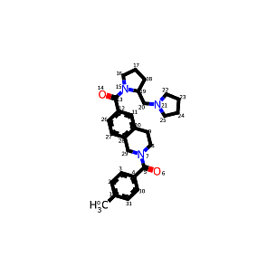 Cc1ccc(C(=O)N2CCc3cc(C(=O)N4CCCC4CN4CCCC4)ccc3C2)cc1